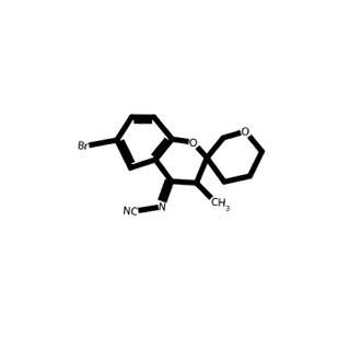 CC1C(=NC#N)c2cc(Br)ccc2OC12CCCOC2